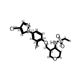 CCS(=O)(=O)NC1CCOCC1COc1ccc(-n2cc(Cl)cn2)cc1F